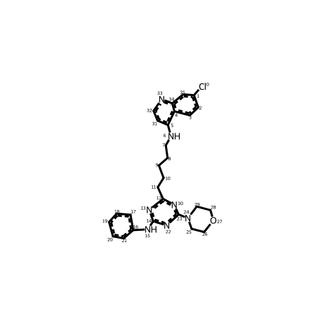 Clc1ccc2c(NCCCCCc3nc(Nc4ccccc4)nc(N4CCOCC4)n3)ccnc2c1